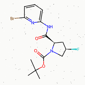 CC(C)(C)OC(=O)N1C[C@H](F)C[C@@H]1C(=O)Nc1cccc(Br)n1